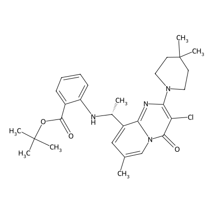 Cc1cc([C@@H](C)Nc2ccccc2C(=O)OC(C)(C)C)c2nc(N3CCC(C)(C)CC3)c(Cl)c(=O)n2c1